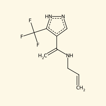 C=CCNC(=C)c1cn[nH]c1C(F)(F)F